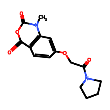 Cn1c(=O)oc(=O)c2ccc(OCC(=O)N3CCCC3)cc21